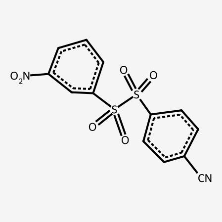 N#Cc1ccc(S(=O)(=O)S(=O)(=O)c2cccc([N+](=O)[O-])c2)cc1